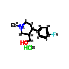 CCN1CCC(c2ccc(F)cc2)C(CO)C1.Cl